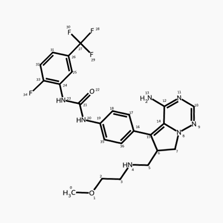 COCCNCC1CN2N=CN=C(N)C2=C1c1ccc(NC(=O)Nc2cc(C(F)(F)F)ccc2F)cc1